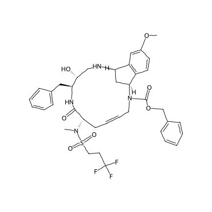 COc1ccc2c(c1)[C@H]1C[C@@H]2N(C(=O)OCc2ccccc2)C/C=C\C[C@H](N(C)S(=O)(=O)CCC(F)(F)F)C(=O)N[C@@H](Cc2ccccc2)[C@H](O)CN1